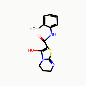 CCCCCCCCc1ccccc1NC(=O)C1=C(O)N2CCCN=C2S1